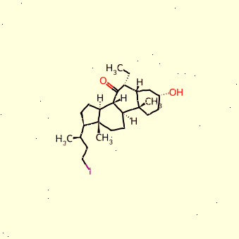 CC[C@H]1C(=O)[C@@H]2[C@H](CC[C@]3(C)[C@@H]([C@H](C)CCI)CC[C@@H]23)[C@@]2(C)CC[C@@H](O)C[C@@H]12